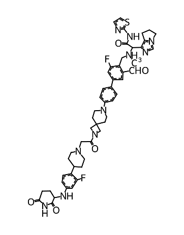 CN(Cc1c(F)cc(-c2ccc(N3CCC4(CC3)CN(C(=O)CN3CCC(c5ccc(NC6CCC(=O)NC6=O)cc5F)CC3)C4)cc2)cc1C=O)C(C(=O)Nc1nccs1)c1ncn2c1CCC2